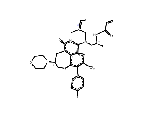 C=CC(=O)N[C@@H](C)CN(C/C(C)=C\C)c1nc(=O)n2c3c(c(-c4ccc(F)cc4)c(C(F)(F)F)cc13)SC[C@@H](N1CCOCC1)C2